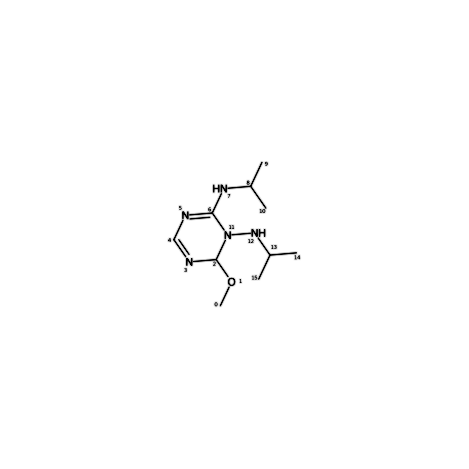 COC1N=CN=C(NC(C)C)N1NC(C)C